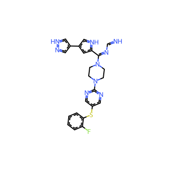 N=C/N=C(\c1cc(-c2cn[nH]c2)c[nH]1)N1CCN(c2ncc(Sc3ccccc3F)cn2)CC1